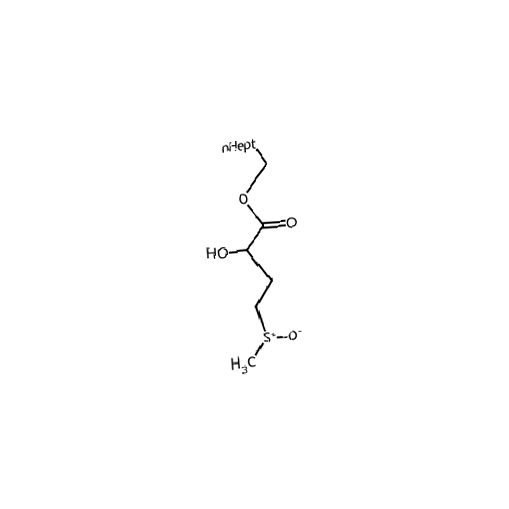 CCCCCCCCOC(=O)C(O)CC[S+](C)[O-]